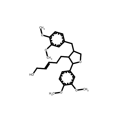 COc1ccc(CC2COC(c3ccc(OC)c(OC)c3)C2CC/C=C/CO)cc1OC